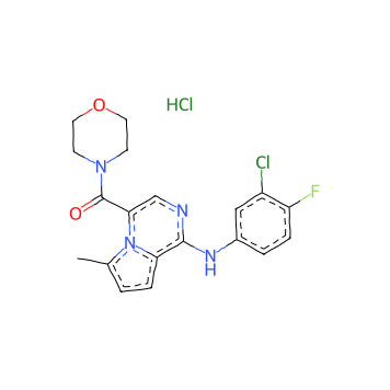 Cc1ccc2c(Nc3ccc(F)c(Cl)c3)ncc(C(=O)N3CCOCC3)n12.Cl